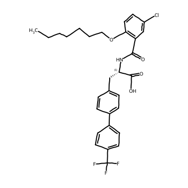 CCCCCCCOc1ccc(Cl)cc1C(=O)N[C@@H](Cc1ccc(-c2ccc(C(F)(F)F)cc2)cc1)C(=O)O